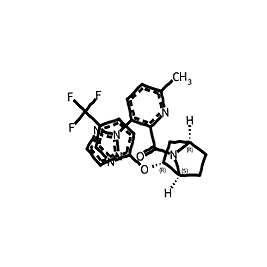 Cc1ccc(-n2nccn2)c(C(=O)N2[C@@H]3CC[C@H]2[C@H](Oc2ccc(C(F)(F)F)cn2)C3)n1